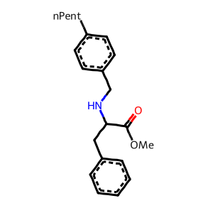 CCCCCc1ccc(CNC(Cc2ccccc2)C(=O)OC)cc1